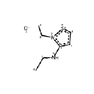 CCNc1cc[s+]n1CC.[Cl-]